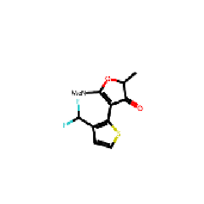 CNC1=C(c2sccc2C(F)F)C(=O)C(C)O1